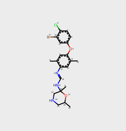 Cc1cc(Oc2ccc(Cl)c(Br)c2)c(C)cc1/N=C/NC1(C)CNCC(C)O1